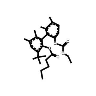 CCCCC(=O)Oc1c(C(C)(C)C)cc(C)c(C)c1-c1c(OC(=O)OCC)ccc(C)c1C